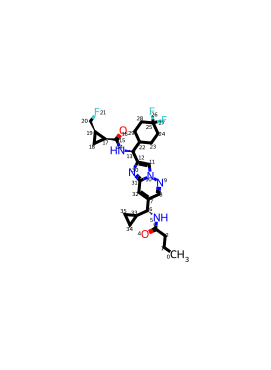 CCCC(=O)N[C@@H](c1cnn2cc([C@@H](NC(=O)[C@H]3C[C@H]3CF)C3CCC(F)(F)CC3)nc2c1)C1CC1